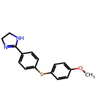 COc1ccc(Sc2ccc(C3=NCCN3)cc2)cc1